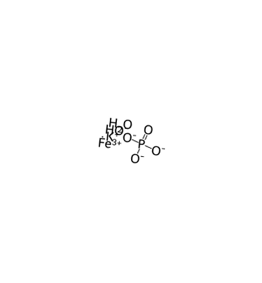 O.O=P([O-])([O-])[O-].[Fe+3].[K+].[OH-]